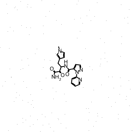 Cn1ccc(CC(NC(=O)c2ccnn2-c2ccccn2)C(=O)C(N)=O)c1